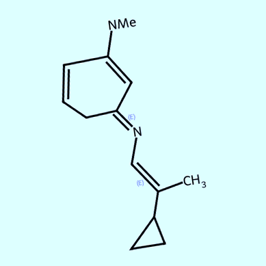 CNC1=C/C(=N/C=C(\C)C2CC2)CC=C1